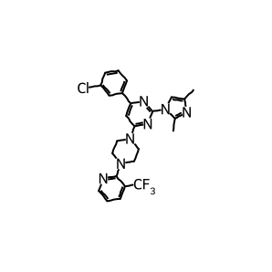 Cc1cn(-c2nc(-c3cccc(Cl)c3)cc(N3CCN(c4ncccc4C(F)(F)F)CC3)n2)c(C)n1